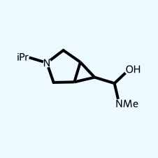 CNC(O)C1C2CN(C(C)C)CC21